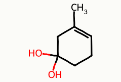 CC1=CCCC(O)(O)C1